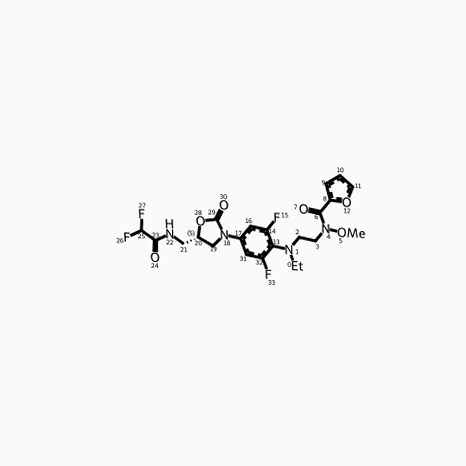 CCN(CCN(OC)C(=O)c1ccco1)c1c(F)cc(N2C[C@H](CNC(=O)C(F)F)OC2=O)cc1F